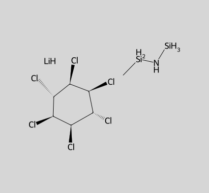 C[SiH2]N[SiH3].Cl[C@H]1[C@H](Cl)[C@@H](Cl)[C@@H](Cl)[C@H](Cl)[C@H]1Cl.[LiH]